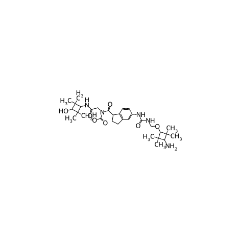 CC1(C)C(O)C(C)(C)C1NC(=O)CN(C(=O)O)C(=O)C1CCc2cc(NC(=O)NCOC3C(C)(C)C(N)C3(C)C)ccc21